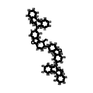 CC1c2c(oc3ccc(-n4c5ccccc5n5c6ccccc6nc45)cc23)C=CC1c1ccc2oc3ccc(-n4c5ccccc5n5c6ccccc6nc45)cc3c2c1